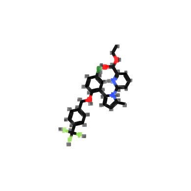 CCOC(=O)c1cccc(-n2c(C)ccc2-c2cc(Cl)ccc2OCc2ccc(C(F)(F)F)cc2)n1